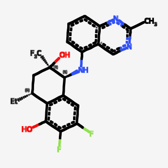 CC[C@@H]1C[C@](O)(C(F)(F)F)[C@@H](Nc2cccc3nc(C)ncc23)c2cc(F)c(F)c(O)c21